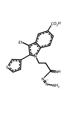 CCc1c(-c2ccsc2)n(CCC(=N)/N=N\N)c2ccc(C(=O)O)cc12